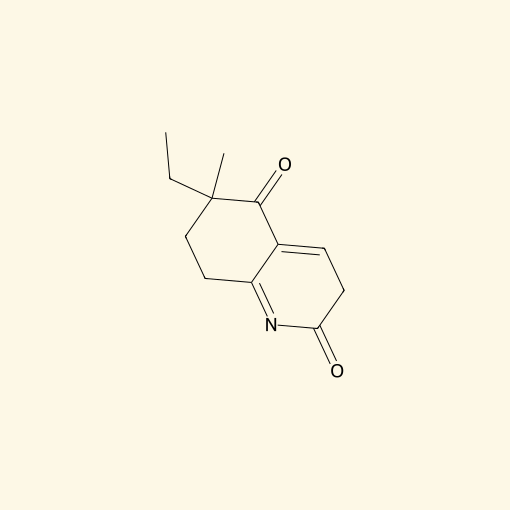 CCC1(C)CCC2=NC(=O)CC=C2C1=O